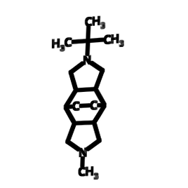 CN1CC2C3CCC(C2C1)C1CN(C(C)(C)C)CC31